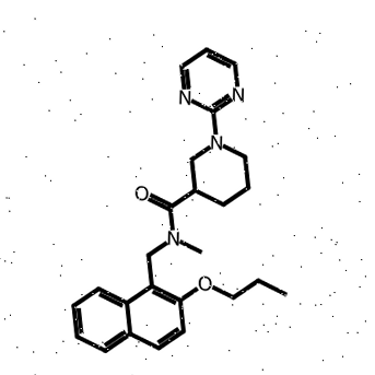 CCCOc1ccc2ccccc2c1CN(C)C(=O)C1CCCN(c2ncccn2)C1